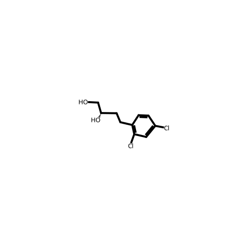 OC[C@@H](O)CCc1ccc(Cl)cc1Cl